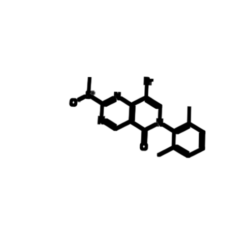 Cc1cccc(C)c1-n1cc(Br)c2nc([S+](C)[O-])ncc2c1=O